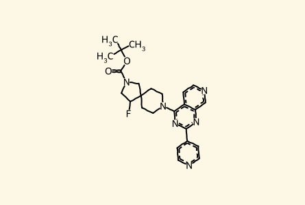 CC(C)(C)OC(=O)N1CC(F)C2(CCN(c3nc(-c4ccncc4)nc4cnccc34)CC2)C1